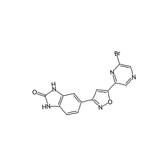 O=c1[nH]c2ccc(-c3cc(-c4[c]ncc(Br)n4)on3)cc2[nH]1